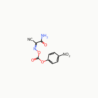 N#CC(=NOC(=O)Oc1ccc([N+](=O)[O-])cc1)C(N)=O